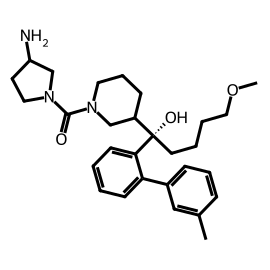 COCCCC[C@@](O)(c1ccccc1-c1cccc(C)c1)C1CCCN(C(=O)N2CCC(N)C2)C1